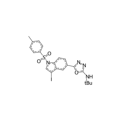 Cc1ccc(S(=O)(=O)n2cc(I)c3cc(-c4nnc(NC(C)(C)C)o4)ccc32)cc1